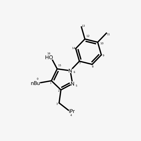 CCCCc1c(CC(C)C)nn(-c2ccc(C)c(C)c2)c1O